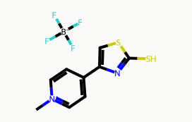 C[n+]1ccc(-c2csc(S)n2)cc1.F[B-](F)(F)F